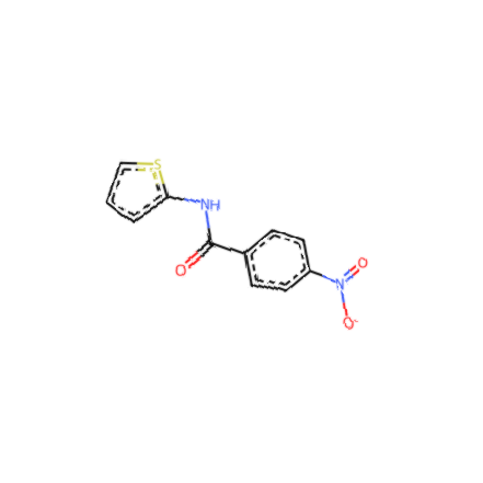 O=C(Nc1cccs1)c1ccc([N+](=O)[O-])cc1